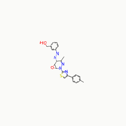 CC1=NN(c2nc(-c3ccc(C)cc3)cs2)C2OC2C1/N=N/c1cccc(CO)c1